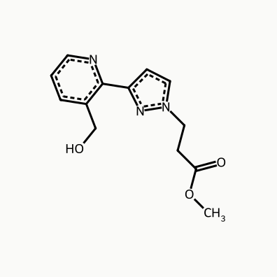 COC(=O)CCn1ccc(-c2ncccc2CO)n1